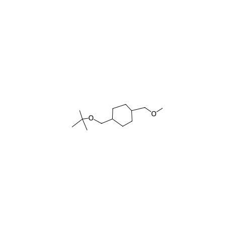 COCC1CCC(COC(C)(C)C)CC1